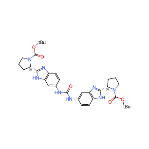 CC(C)(C)OC(=O)N1CCC[C@H]1c1nc2cc(NC(=O)Nc3ccc4nc([C@@H]5CCCN5C(=O)OC(C)(C)C)[nH]c4c3)ccc2[nH]1